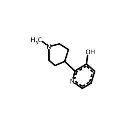 CN1CCC(c2ncccc2O)CC1